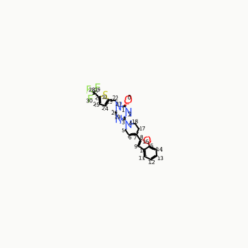 O=c1nc(N2CC=C(c3cc4ccccc4o3)CC2)ncn1Cc1ccc(C(F)(F)F)s1